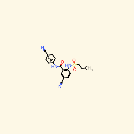 CCCS(=O)(=O)Nc1ccc(C#N)cc1C(=O)NC12CCC(C#N)(CC1)CC2